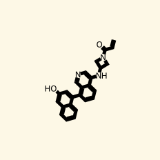 C=CC(=O)N1CC(Nc2cncc3c(-c4cc(O)cc5ccccc45)cccc23)C1